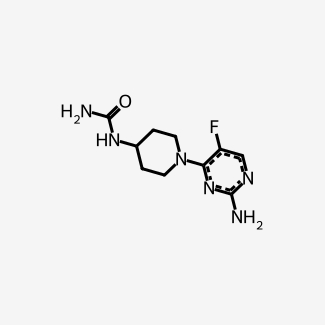 NC(=O)NC1CCN(c2nc(N)ncc2F)CC1